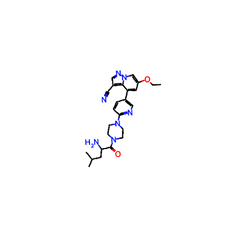 CCOc1cc(-c2ccc(N3CCN(C(=O)C(N)CC(C)C)CC3)nc2)c2c(C#N)cnn2c1